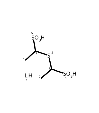 CC(SC(C)S(=O)(=O)O)S(=O)(=O)O.[LiH]